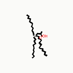 CCCCCCCCCCC[Si](C=C(C)C(=O)O)(CCCCCCCCCCC)CCCCCCCCCCC